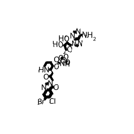 Nc1ncnc2c1ncn2[C@@H]1O[C@H](COS(=O)(=O)NC(=O)O[C@H]2CCCN[C@@H]2CC(=O)Cn2cnc3cc(Br)c(Cl)cc3c2=O)[C@@H](O)[C@H]1O